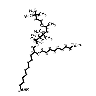 CCCCCCCCCCCCCCCCCCCC(COC(=O)C(C)(C)C(C)(C)CC(C)OCCC(C)(C)OC)OCCCCCCCCCCCCCCCCCC